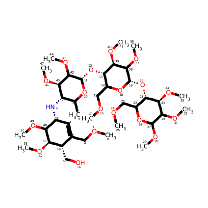 COCC1=C[C@@H](N[C@H]2C(C)O[C@@H](O[C@H]3C(COC)O[C@@H](O[C@H]4C(COC)OC(OC)C(OC)[C@@H]4OC)C(OC)[C@@H]3OC)C(OC)[C@@H]2OC)C(OC)[C@H](OC)[C@H]1CO